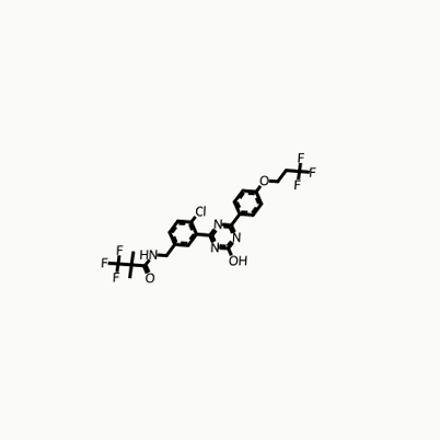 CC(C)(C(=O)NCc1ccc(Cl)c(-c2nc(O)nc(-c3ccc(OCCC(F)(F)F)cc3)n2)c1)C(F)(F)F